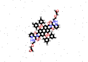 Cc1ccc(Oc2cc3c4c(cc(Oc5ccc(C)cc5C)c5c6c(Oc7ccc(C)cc7C)cc7c8c(cc(Oc9ccc(C)cc9C)c(c2c45)c86)C(=O)N(C(C(=O)NCCOCC2CO2)c2ccccn2)C7=O)C(=O)N(C(C(=O)NCCOCC2CO2)c2ccccn2)C3=O)c(C)c1